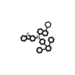 c1ccc(-c2cccc(-c3ccccc3)c2-c2ccc(N(c3ccc4c(c3)sc3ccccc34)c3cccc4c(C5CCCCC5)cccc34)cc2)cc1